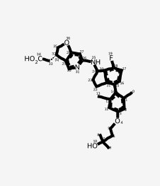 Cc1cc(OCCC(C)(C)O)cc(C)c1-c1ccc(F)c2c1CCC2Nc1cc2c(cn1)[C@H](CC(=O)O)CO2